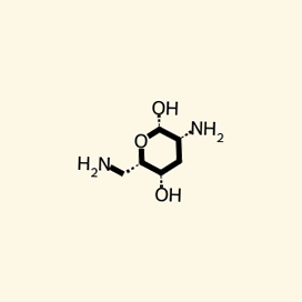 NC[C@@H]1O[C@H](O)[C@H](N)C[C@@H]1O